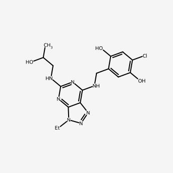 CCn1nnc2c(NCc3cc(O)c(Cl)cc3O)nc(NCC(C)O)nc21